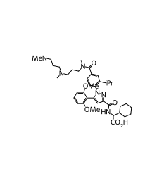 CNCCCN(C)CCCN(C)C(=O)c1ccc(-n2nc(C(=O)N[C@H](C(=O)O)C3CCCCC3)cc2-c2c(OC)cccc2OC)c(C(C)C)c1